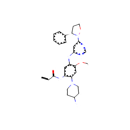 C=CC(=O)Nc1cc(Nc2cc(N3OCC[C@@H]3c3ccccc3)ncn2)c(OC)cc1N1CCC(N)CC1